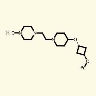 CC(C)O[C@H]1C[C@H](OC2CCN(CCN3CCN(C)CC3)CC2)C1